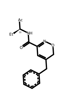 CC[C@H](NC(=O)C1=NOCC(Cc2ccccc2)=C1)C(C)=O